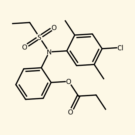 CCC(=O)Oc1ccccc1N(c1cc(C)c(Cl)cc1C)S(=O)(=O)CC